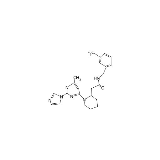 Cc1cc(N2CCCCC2CC(=O)NCc2cccc(C(F)(F)F)c2)nc(-n2ccnc2)n1